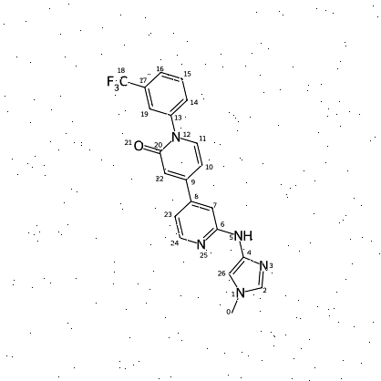 Cn1cnc(Nc2cc(-c3ccn(-c4cccc(C(F)(F)F)c4)c(=O)c3)ccn2)c1